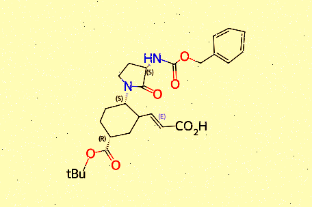 CC(C)(C)OC(=O)[C@@H]1CC[C@H](N2CC[C@H](NC(=O)OCc3ccccc3)C2=O)C(/C=C/C(=O)O)C1